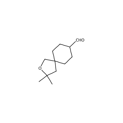 CC1(C)CC2(CCC(C=O)CC2)CO1